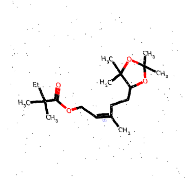 CCC(C)(C)C(=O)OC/C=C(/C)CCC1OC(C)(C)OC1(C)C